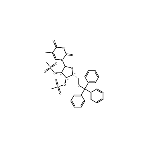 Cc1cn(C2O[C@H](COC(c3ccccc3)(c3ccccc3)c3ccccc3)[C@@H](OS(C)(=O)=O)[C@H]2OS(C)(=O)=O)c(=O)[nH]c1=O